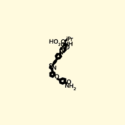 CC(C)[C@@H](NS(=O)(=O)N1CCN(c2ccc(C#Cc3nc(-c4cccc(OCc5ccc(C(N)=O)cc5)c4)cs3)cc2)CC1)C(=O)O